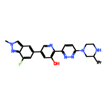 CC(C)C1CN(c2ccc(-c3ncc(-c4cc(F)c5nn(C)cc5c4)cc3O)nn2)CCN1